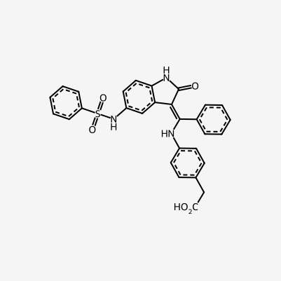 O=C(O)Cc1ccc(N/C(=C2/C(=O)Nc3ccc(NS(=O)(=O)c4ccccc4)cc32)c2ccccc2)cc1